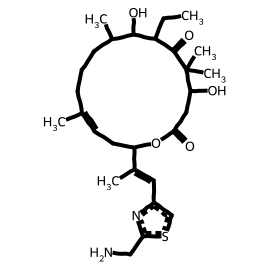 CCC1C(=O)C(C)(C)C(O)CC(=O)OC(C(C)=Cc2csc(CN)n2)CC=C(C)CCCC(C)C1O